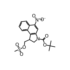 CC(C)(C)OC(=O)N1CC(COS(C)(=O)=O)c2c1cc([N+](=O)[O-])c1ccccc21